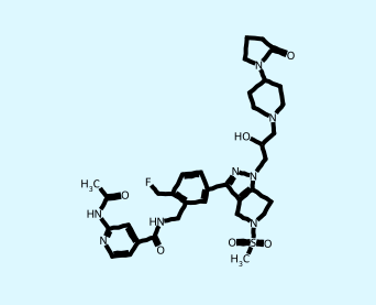 CC(=O)Nc1cc(C(=O)NCc2cc(-c3nn(CC(O)CN4CCC(N5CCCC5=O)CC4)c4c3CN(S(C)(=O)=O)CC4)ccc2CF)ccn1